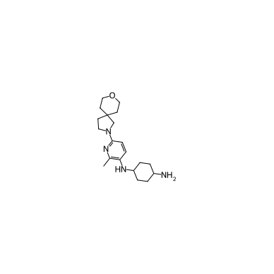 Cc1nc(N2CCC3(CCOCC3)C2)ccc1NC1CCC(N)CC1